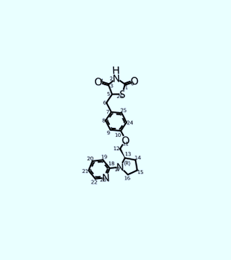 O=C1NC(=O)C(Cc2ccc(OC[C@H]3CCCN3c3ccccn3)cc2)S1